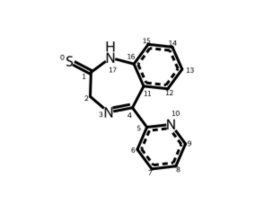 S=C1CN=C(c2ccccn2)c2ccccc2N1